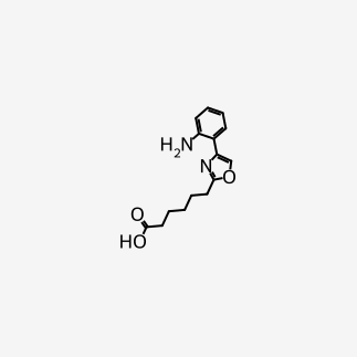 Nc1ccccc1-c1coc(CCCCCC(=O)O)n1